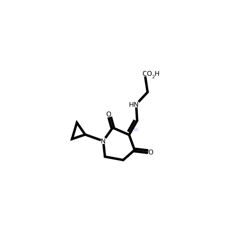 O=C(O)CN/C=C1/C(=O)CCN(C2CC2)C1=O